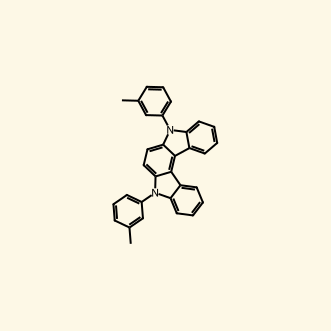 Cc1cccc(-n2c3ccccc3c3c4c5ccccc5n(-c5cccc(C)c5)c4ccc32)c1